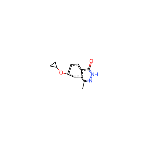 Cc1n[nH]c(=O)c2ccc(OC3CC3)cc12